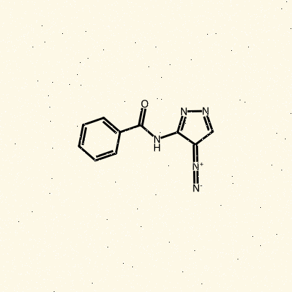 [N-]=[N+]=C1C=NN=C1NC(=O)c1ccccc1